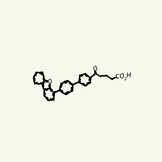 O=C(O)CCCC(=O)c1ccc(-c2ccc(-c3cccc4c3oc3ccccc34)cc2)cc1